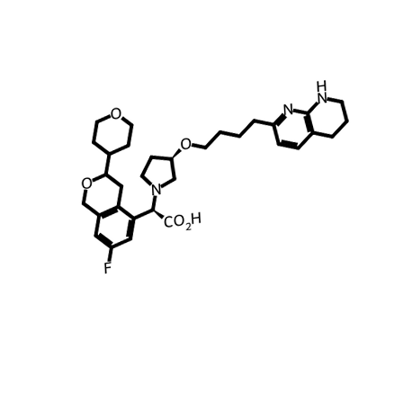 O=C(O)[C@@H](c1cc(F)cc2c1CC(C1CCOCC1)OC2)N1CC[C@@H](OCCCCc2ccc3c(n2)NCCC3)C1